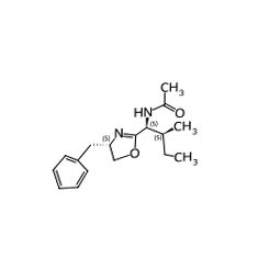 CC[C@H](C)[C@H](NC(C)=O)C1=N[C@@H](Cc2ccccc2)CO1